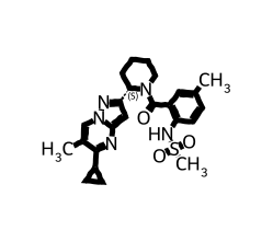 Cc1ccc(NS(C)(=O)=O)c(C(=O)N2CCCC[C@H]2c2cc3nc(C4CC4)c(C)cn3n2)c1